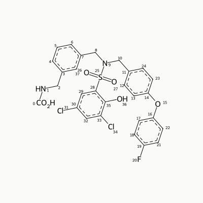 O=C(O)NCc1cccc(CN(Cc2ccc(Oc3ccc(F)cc3)cc2)S(=O)(=O)c2cc(Cl)cc(Cl)c2O)c1